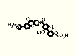 CCOc1cc(C(=O)N2CCC3(CC2)CC(=O)c2cc(-c4cnn(C)c4)ccc2O3)cc(OCC)c1-c1cccc(OC(=O)O)c1